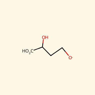 [O]CCC(O)C(=O)O